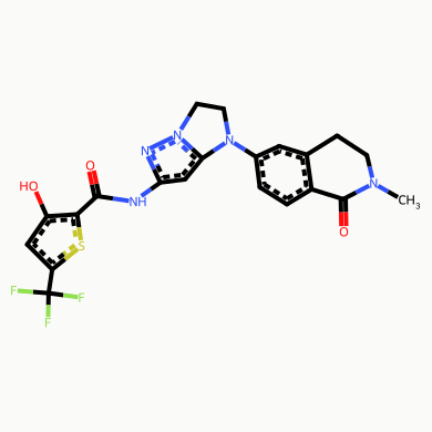 CN1CCc2cc(N3CCn4nc(NC(=O)c5sc(C(F)(F)F)cc5O)cc43)ccc2C1=O